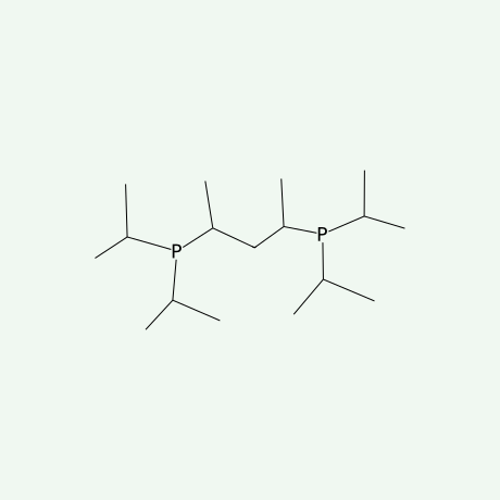 CC(C)P(C(C)C)C(C)CC(C)P(C(C)C)C(C)C